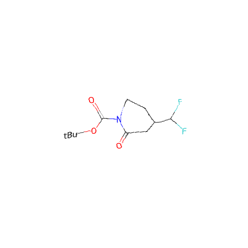 CC(C)(C)OC(=O)N1CCC(C(F)F)CC1=O